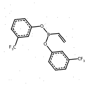 C=CB(Oc1cccc(C(F)(F)F)c1)Oc1cccc(C(F)(F)F)c1